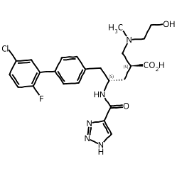 CN(CCO)C[C@H](C[C@@H](Cc1ccc(-c2cc(Cl)ccc2F)cc1)NC(=O)c1c[nH]nn1)C(=O)O